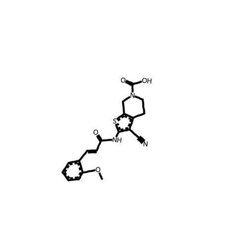 COc1ccccc1C=CC(=O)Nc1sc2c(c1C#N)CCN(C(=O)O)C2